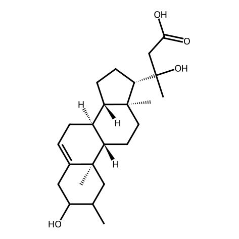 CC1C[C@@]2(C)C(=CC[C@H]3[C@@H]4CC[C@H](C(C)(O)CC(=O)O)[C@@]4(C)CC[C@@H]32)CC1O